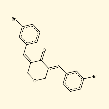 O=C1C(=Cc2cccc(Br)c2)COCC1=Cc1cccc(Br)c1